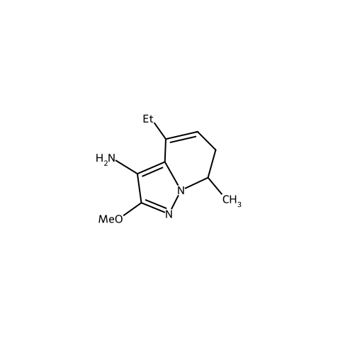 CCC1=CCC(C)n2nc(OC)c(N)c21